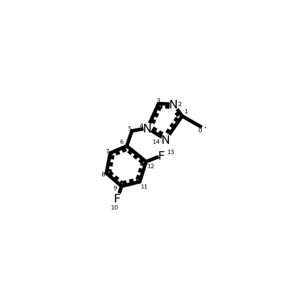 [CH2]c1ncn(Cc2ccc(F)cc2F)n1